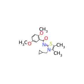 COc1ccc(OC)c(C(=O)/N=c2\sc(C)c(C)n2CC2CC2)c1